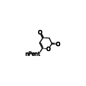 CCCCCC1=CC(=O)CC(=O)O1